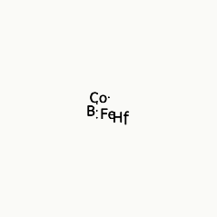 [B].[Co].[Fe].[Hf]